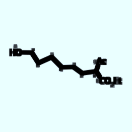 CCOC(=O)C(CCCCCCO)C(C)=O